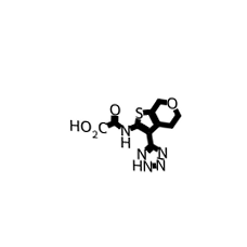 O=C(O)C(=O)Nc1sc2c(c1-c1nn[nH]n1)CCOC2